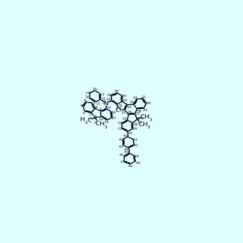 CC1(C)c2ccccc2-c2c(N(C3=CCCC=C3)c3cccc4c3oc3c5c(c6ccccc6c34)C(C)(C)c3cc(C4C=CC(c6ccccc6)=CC4)ccc3-5)cccc21